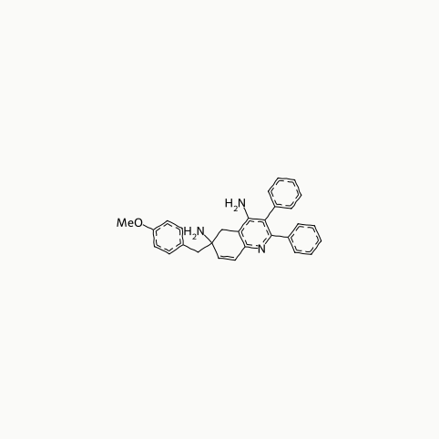 COc1ccc(CC2(N)C=Cc3nc(-c4ccccc4)c(-c4ccccc4)c(N)c3C2)cc1